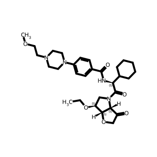 CCO[C@H]1CN(C(=O)[C@@H](NC(=O)c2ccc(N3CCN(CCOC)CC3)cc2)C2CCCCC2)[C@@H]2C(=O)CO[C@H]12